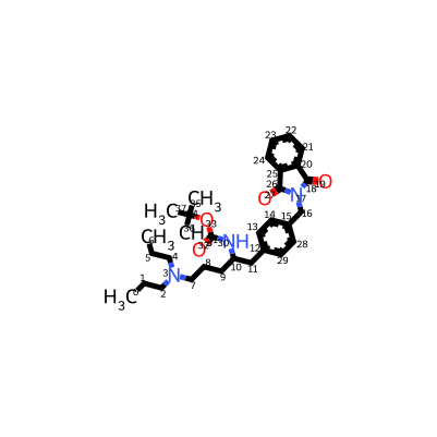 CCCN(CCC)CCCC(Cc1ccc(CN2C(=O)c3ccccc3C2=O)cc1)NC(=O)OC(C)(C)C